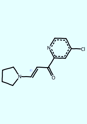 O=C(/C=C/N1CCCC1)c1cc(Cl)ccn1